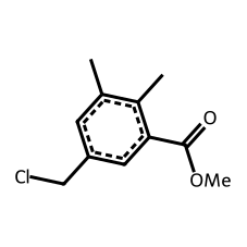 COC(=O)c1cc(CCl)cc(C)c1C